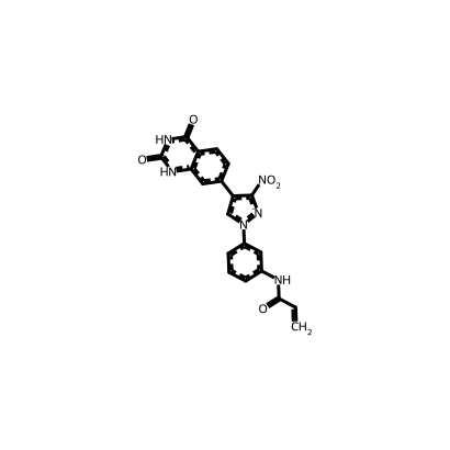 C=CC(=O)Nc1cccc(-n2cc(-c3ccc4c(=O)[nH]c(=O)[nH]c4c3)c([N+](=O)[O-])n2)c1